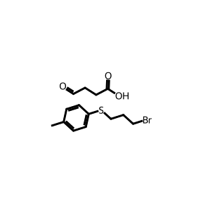 Cc1ccc(SCCCBr)cc1.O=CCCC(=O)O